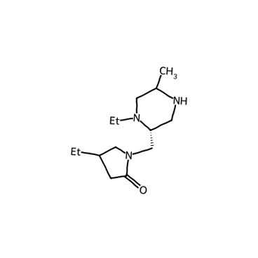 CCC1CC(=O)N(C[C@H]2CNC(C)CN2CC)C1